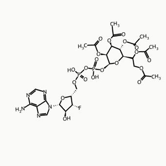 CC(=O)OCC(OC(C)=O)[C@H]1O[C@@H](OP(=O)(O)OP(=O)(O)OC[C@H]2O[C@@H](n3cnc4c(N)ncnc43)[C@H](O)[C@H]2F)[C@@H](OC(C)=O)[C@@H](OC(C)=O)[C@@H]1OC(C)=O